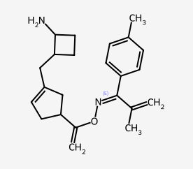 C=C(C)/C(=N\OC(=C)C1CC=C(CC2CCC2N)C1)c1ccc(C)cc1